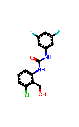 O=C(Nc1cc(F)cc(F)c1)Nc1cccc(Cl)c1CO